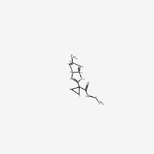 CCOC(=O)C1(c2nn3cc(C)nc3s2)CC1